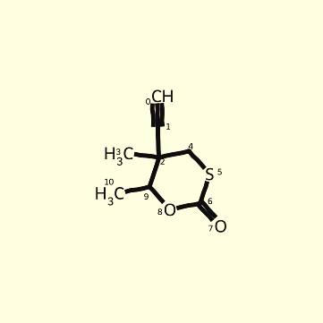 C#CC1(C)CSC(=O)OC1C